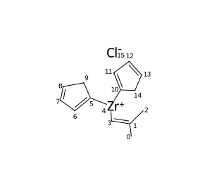 CC(C)=[CH][Zr+]([C]1=CC=CC1)[C]1=CC=CC1.[Cl-]